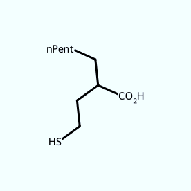 CCCCCCC(CCS)C(=O)O